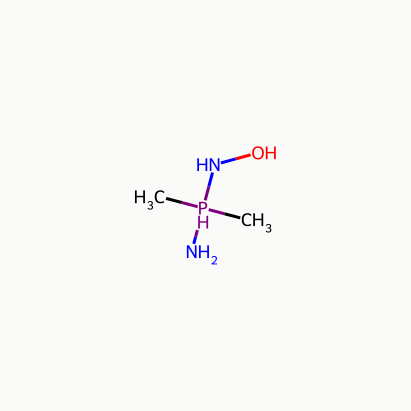 C[PH](C)(N)NO